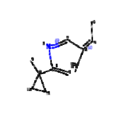 C=C(/N=C\C(=C/C)C(C)C)C1(C)CC1